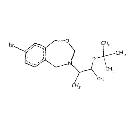 CC(C(O)OC(C)(C)C)N1COCc2cc(Br)ccc2C1